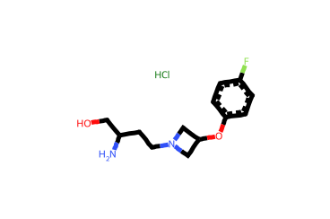 Cl.NC(CO)CCN1CC(Oc2ccc(F)cc2)C1